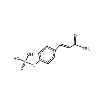 NC(=O)C=Cc1ccc(OP(=O)(O)O)cc1